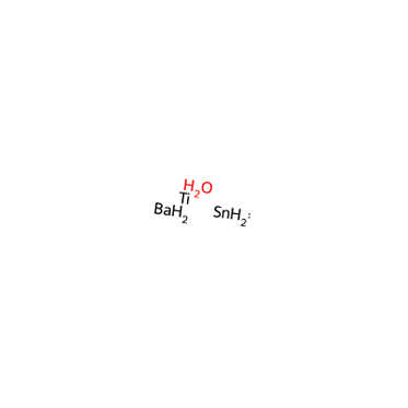 O.[BaH2].[SnH2].[Ti]